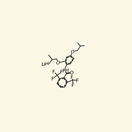 CC(C)COc1ccc(PC(=O)c2c(C(F)(F)F)cccc2C(F)(F)F)c(OCC(C)C)c1.[LiH]